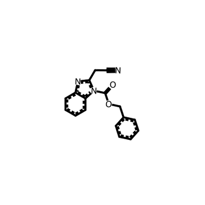 N#CCc1nc2ccccc2n1C(=O)OCc1ccccc1